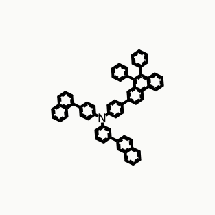 c1ccc(-c2c(-c3ccccc3)c3cc(-c4ccc(N(c5ccc(-c6cccc7ccccc67)cc5)c5cccc(-c6ccc7ccccc7c6)c5)cc4)ccc3c3ccccc23)cc1